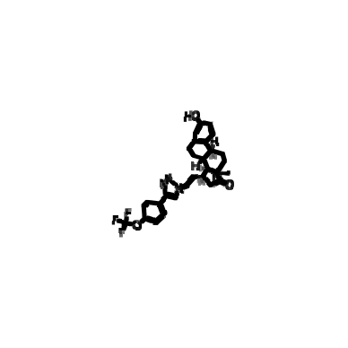 C[C@]12CC[C@@H]3c4ccc(O)cc4CC[C@H]3[C@@H]1[C@H](CCn1cc(-c3ccc(OC(F)(F)F)cc3)nn1)CC2=O